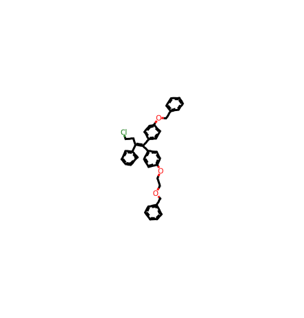 ClCC/C(=C(/c1ccc(OCCOCc2ccccc2)cc1)c1ccc(OCc2ccccc2)cc1)c1ccccc1